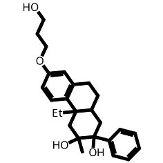 CCC12CC(C)(O)C(O)(c3ccccc3)CC1CCc1cc(OCCCO)ccc12